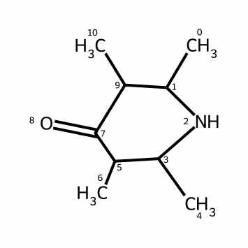 CC1NC(C)C(C)C(=O)C1C